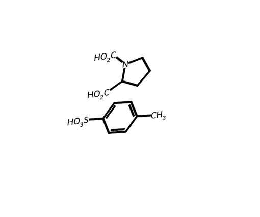 Cc1ccc(S(=O)(=O)O)cc1.O=C(O)C1CCCN1C(=O)O